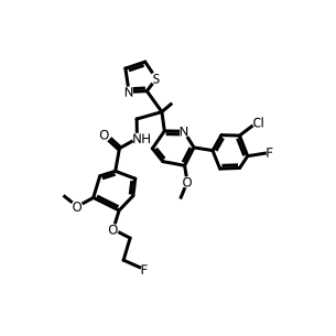 COc1cc(C(=O)NCC(C)(c2ccc(OC)c(-c3ccc(F)c(Cl)c3)n2)c2nccs2)ccc1OCCF